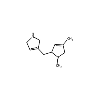 CC1=CC(CC2=CCNC2)N(C)C1